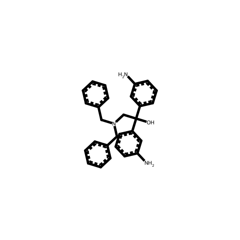 Nc1cccc(C(O)(CN(Cc2ccccc2)Cc2ccccc2)c2cccc(N)c2)c1